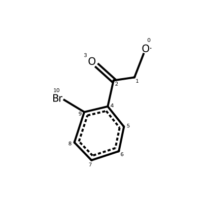 [O]CC(=O)c1ccccc1Br